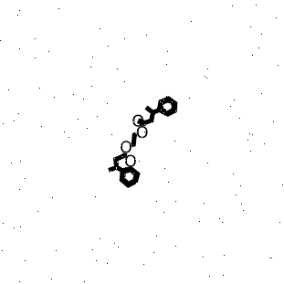 CC(CC(=O)OCCOC(=O)CC(C)c1ccccc1)c1ccccc1